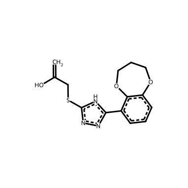 C=C(O)CSc1nnc(-c2cccc3c2OCCCO3)[nH]1